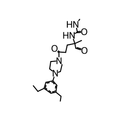 CCc1cc(CC)cc(N2CCN(C(=O)CCC(C)(C=O)NC(=O)NC)CC2)c1